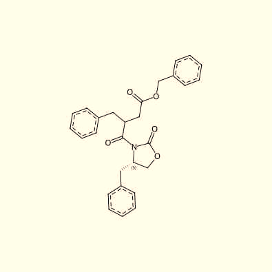 O=C(CC(Cc1ccccc1)C(=O)N1C(=O)OC[C@@H]1Cc1ccccc1)OCc1ccccc1